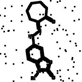 CCn1c(=O)oc2cc(N/N=C3\CCCCCC3=O)ccc21